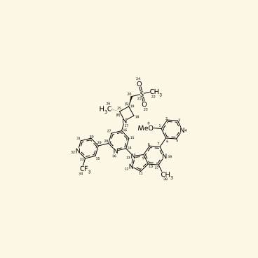 COc1ccncc1-c1cc2c(cnn2-c2cc(N3C[C@H](CS(C)(=O)=O)[C@H]3C)cc(-c3ccnc(C(F)(F)F)c3)n2)c(C)n1